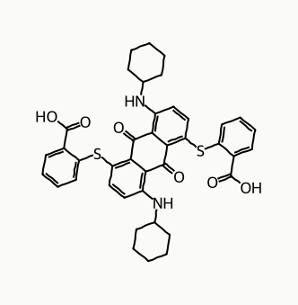 O=C(O)c1ccccc1Sc1ccc(NC2CCCCC2)c2c1C(=O)c1c(NC3CCCCC3)ccc(Sc3ccccc3C(=O)O)c1C2=O